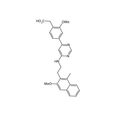 COc1cc(-c2cc(NCCc3c(OC)cc4ccccc4c3C)ncn2)ccc1CC(=O)O